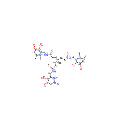 CCC(CCC(=O)NCc1c(O)c(=O)cc(C)n1C)(CCC(=O)NCc1c(O)c(=O)cc(C)n1C)CCC(=O)NCc1c(O)c(=O)cc(C)n1C